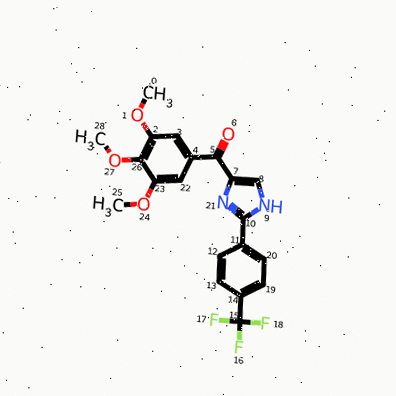 COc1cc(C(=O)c2c[nH]c(-c3ccc(C(F)(F)F)cc3)n2)cc(OC)c1OC